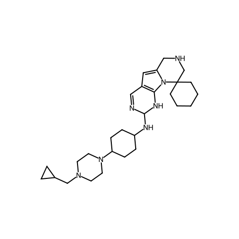 C1=NC(NC2CCC(N3CCN(CC4CC4)CC3)CC2)Nc2c1cc1n2C2(CCCCC2)CNC1